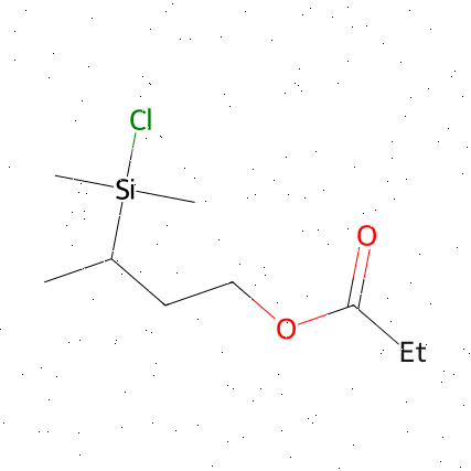 CCC(=O)OCCC(C)[Si](C)(C)Cl